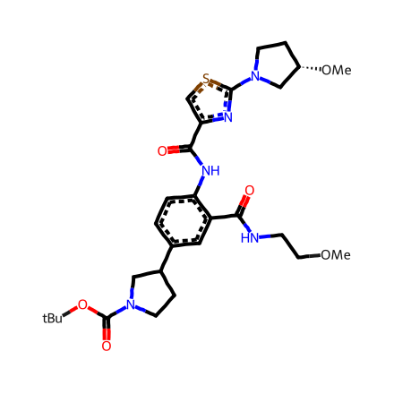 COCCNC(=O)c1cc(C2CCN(C(=O)OC(C)(C)C)C2)ccc1NC(=O)c1csc(N2CC[C@H](OC)C2)n1